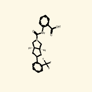 O=C(O)c1ccccc1NC(=O)N1C[C@H]2CC(c3ccccc3C(F)(F)F)C[C@H]2C1